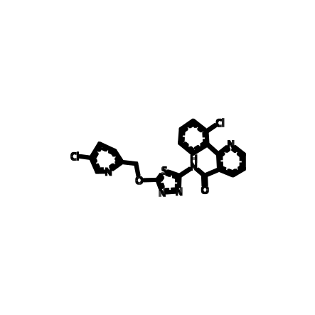 O=C(Nc1nnc(OCc2ccc(Cl)cn2)s1)c1cccnc1-c1ccccc1Cl